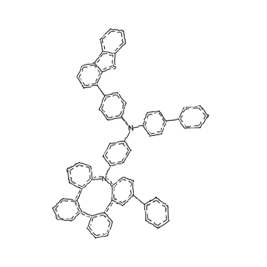 c1ccc(-c2ccc(N(c3ccc(-c4cccc5c4sc4ccccc45)cc3)c3ccc(-n4c5ccccc5c5ccccc5c5ccccc5c5cc(-c6ccccc6)ccc54)cc3)cc2)cc1